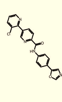 O=C(Nc1ccc(-c2cnco2)cc1)c1ccc(-c2ncccc2Cl)cn1